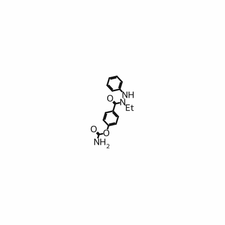 CCN(Nc1ccccc1)C(=O)c1ccc(OC(N)=O)cc1